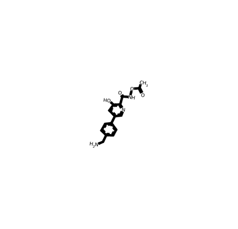 CC(=O)ONC(=O)c1ncc(-c2ccc(CN)cc2)cc1O